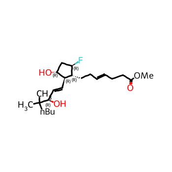 CCCCC(C)(C)[C@H](O)C=C[C@@H]1[C@@H](CCC=CCCC(=O)OC)[C@H](F)C[C@H]1O